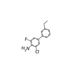 CCc1cccc(-c2cc(F)c(N)c(Cl)c2)c1